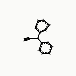 C#C[C](c1ccccc1)c1ccccc1